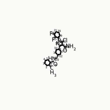 Cc1ccccc1C(=O)NCc1ccc(-c2nn(-c3cccc(F)c3F)c(Cl)c2C(N)=O)cc1